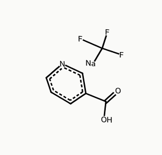 F[C](F)(F)[Na].O=C(O)c1cccnc1